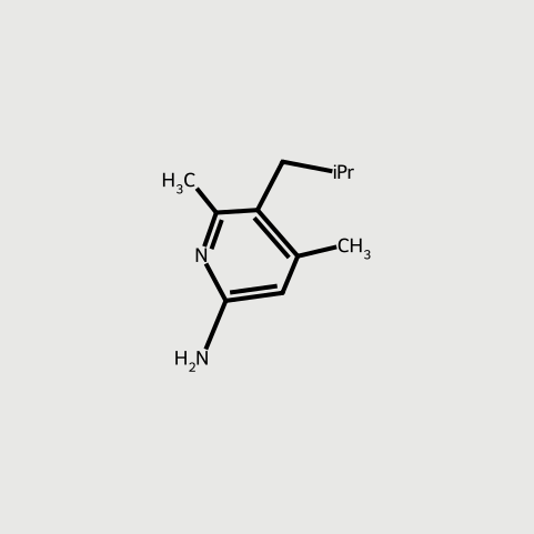 Cc1cc(N)nc(C)c1CC(C)C